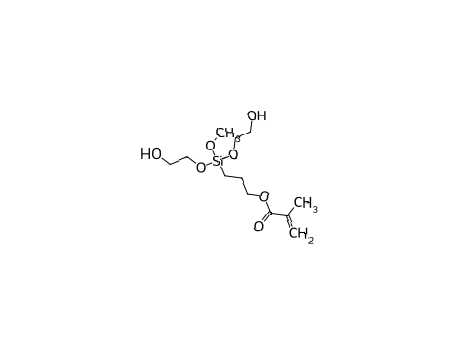 C=C(C)C(=O)OCCC[Si](OC)(OCCO)OCCO